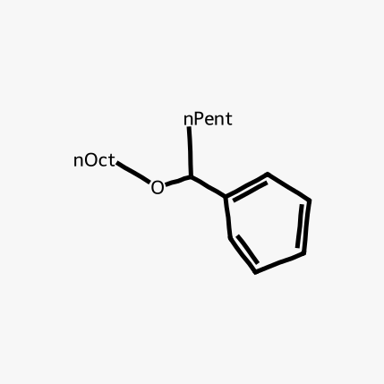 CCCCCCCCOC(CCCCC)c1ccccc1